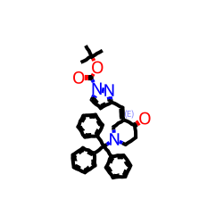 CC(C)(C)OC(=O)n1ccc(/C=C2\CN(C(c3ccccc3)(c3ccccc3)c3ccccc3)CCC2=O)n1